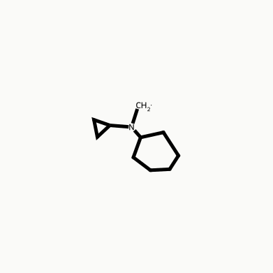 [CH2]N(C1CCCCC1)C1CC1